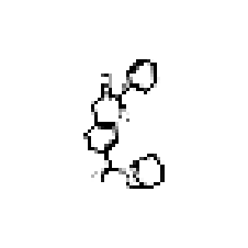 CN(Cc1ccc(C(=O)N2CC3CCCC2C3)cc1)C(=O)c1ccccc1